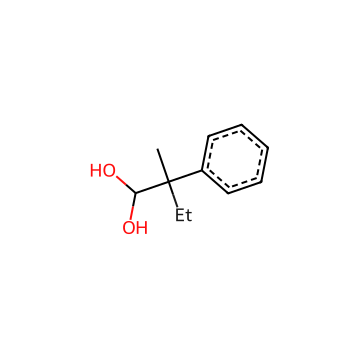 CCC(C)(c1ccccc1)C(O)O